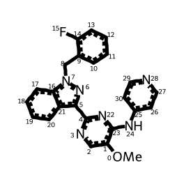 COc1cnc(-c2nn(Cc3ccccc3F)c3ccccc23)nc1Nc1ccncc1